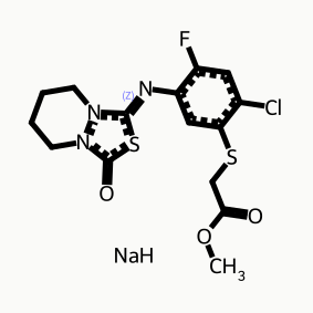 COC(=O)CSc1cc(/N=c2\sc(=O)n3n2CCCC3)c(F)cc1Cl.[NaH]